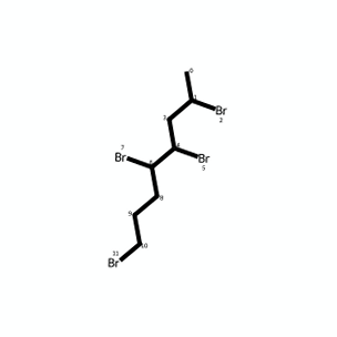 CC(Br)CC(Br)C(Br)CCCBr